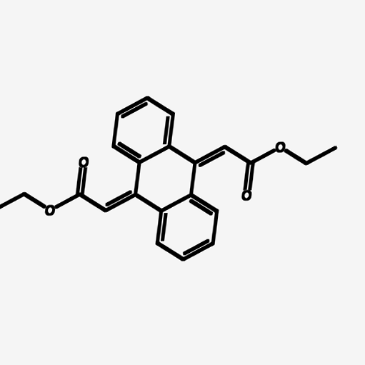 CCOC(=O)C=c1c2ccccc2c(=CC(=O)OCC)c2ccccc12